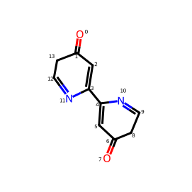 O=C1C=C(C2=CC(=O)CC=N2)N=CC1